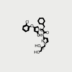 O=C(Nc1ccn(C[C@@H](O)CO)n1)[C@H](CC1CCCCC1)N1CC(Oc2ccccc2Cl)=CC1=O